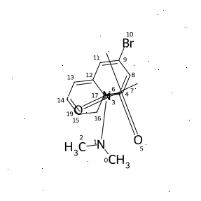 CN(C)N1C(=O)CC2=CC(Br)=CC3=CC=CCC32C1=O